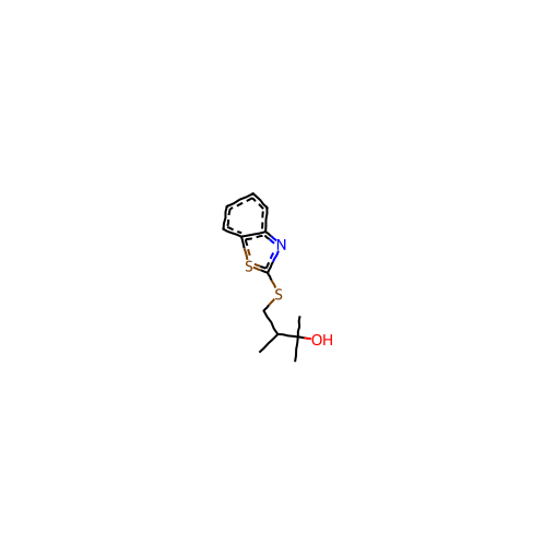 CC(CSc1nc2ccccc2s1)C(C)(C)O